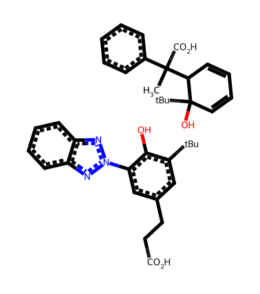 CC(C(=O)O)(c1ccccc1)C1C=CC=CC1(O)C(C)(C)C.CC(C)(C)c1cc(CCC(=O)O)cc(-n2nc3ccccc3n2)c1O